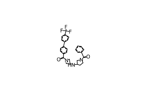 O=C(c1ccccc1)N1CCC(NC2CN(C(=O)c3ccc(-c4ccc(C(F)(F)F)cc4)cc3)C2)C1